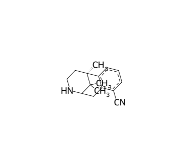 CC1(C)C2Cc3c(C#N)cccc3[C@]1(C)CCN2